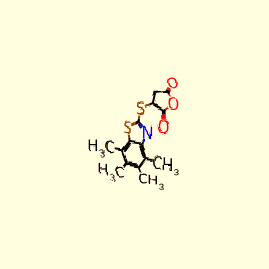 Cc1c(C)c(C)c2sc(SC3CC(=O)OC3=O)nc2c1C